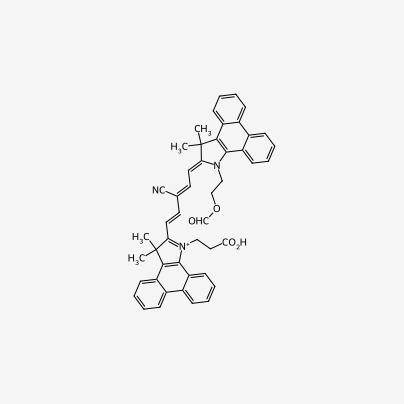 CC1(C)C(/C=C/C(C#N)=C/C=C2\N(CCOC=O)c3c(c4ccccc4c4ccccc34)C2(C)C)=[N+](CCC(=O)O)c2c1c1ccccc1c1ccccc21